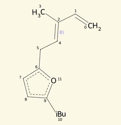 C=C/C(C)=C/Cc1ccc(C(C)CC)o1